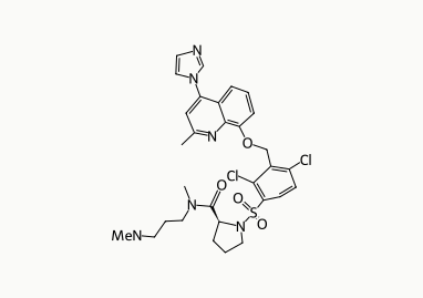 CNCCCN(C)C(=O)[C@@H]1CCCN1S(=O)(=O)c1ccc(Cl)c(COc2cccc3c(-n4ccnc4)cc(C)nc23)c1Cl